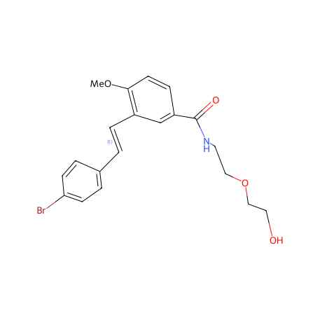 COc1ccc(C(=O)NCCOCCO)cc1/C=C/c1ccc(Br)cc1